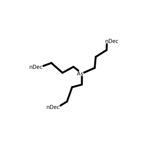 CCCCCCCCCCCCC[As](CCCCCCCCCCCCC)CCCCCCCCCCCCC